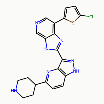 Clc1ccc(-c2cncc3[nH]c(-c4n[nH]c5ccc(C6CCNCC6)nc45)nc23)s1